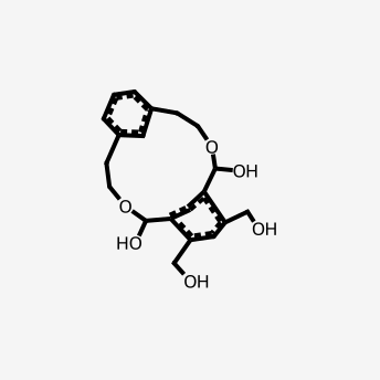 OCc1cc(CO)c2cc1C(O)OCCc1cccc(c1)CCOC2O